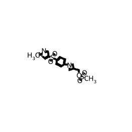 Cn1cc(S(=O)(=O)c2ccc(N3CC(COS(C)(=O)=O)C3)cc2)cn1